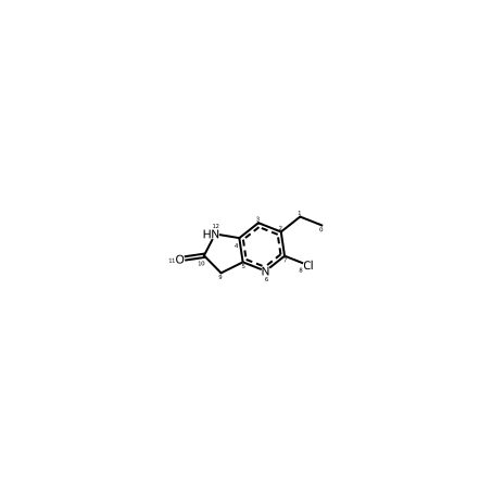 CCc1cc2c(nc1Cl)CC(=O)N2